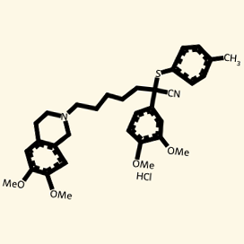 COc1ccc(C(C#N)(CCCCCN2CCc3cc(OC)c(OC)cc3C2)Sc2ccc(C)cc2)cc1OC.Cl